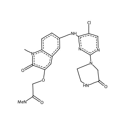 CNC(=O)COc1cc2cc(Nc3nc(N4CCNC(=O)C4)ncc3Cl)ccc2n(C)c1=O